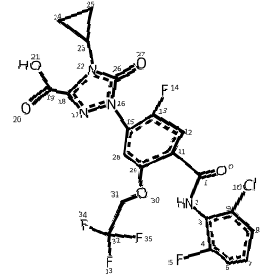 O=C(Nc1c(F)cccc1Cl)c1cc(F)c(-n2nc(C(=O)O)n(C3CC3)c2=O)cc1OCC(F)(F)F